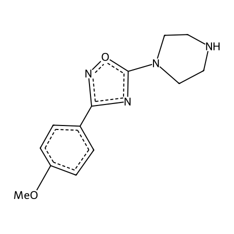 COc1ccc(-c2noc(N3CCNCC3)n2)cc1